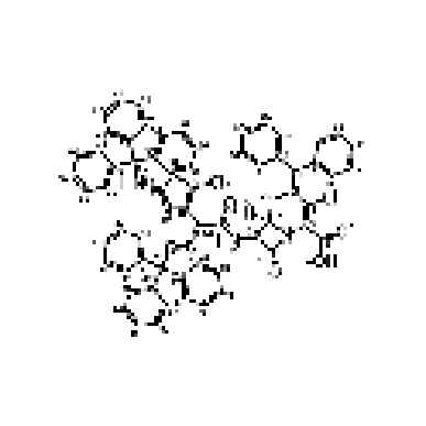 O=C(O)C1=C(Cl)C(C(c2ccccc2)c2ccccc2)C[C@@H]2[C@H](NC(=O)C(=NOC(c3ccccc3)(c3ccccc3)c3ccccc3)c3nc(NC(c4ccccc4)(c4ccccc4)c4ccccc4)sc3Cl)C(=O)N12